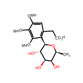 COc1cc(CC(=O)O)c([C@H]2O[C@@H](C)[C@@H](O)[C@@H](O)[C@@H]2O)c(OC)c1OC